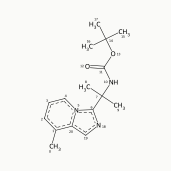 Cc1cccn2c(C(C)(C)NC(=O)OC(C)(C)C)ncc12